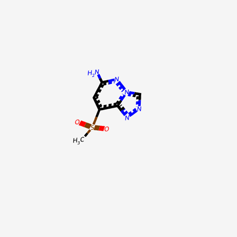 CS(=O)(=O)c1cc(N)nn2cnnc12